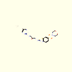 CSc1cnc(NCC(O)CNc2nc3ccc(S(=O)(=O)N4CCOCC4)cc3s2)nc1